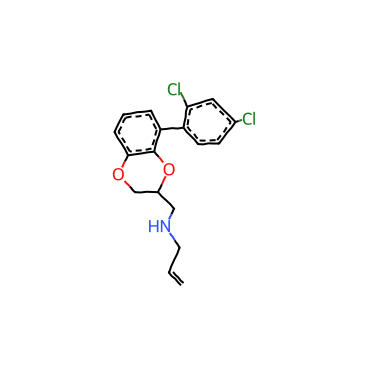 C=CCNCC1COc2cccc(-c3ccc(Cl)cc3Cl)c2O1